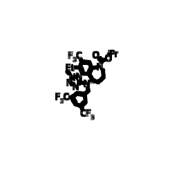 CCc1cc2c(cc1C(F)(F)F)N(C(=O)OC(C)C)CCC[C@@H]2N(Cc1cc(C(F)(F)F)cc(C(F)(F)F)c1)c1nnn(C)n1